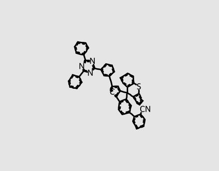 N#Cc1ccccc1-c1ccc2c(c1)C1(c3ccccc3Sc3ccccc31)c1cc(-c3cccc(-c4nc(-c5ccccc5)nc(-c5ccccc5)n4)c3)ccc1-2